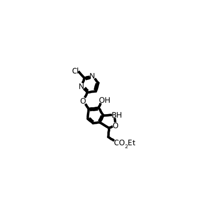 CCOC(=O)CC1OBc2c1ccc(Oc1ccnc(Cl)n1)c2O